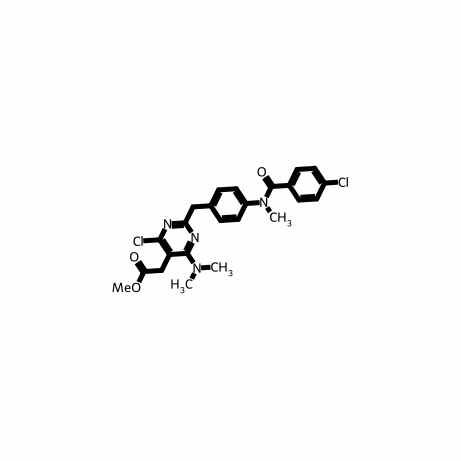 COC(=O)Cc1c(Cl)nc(Cc2ccc(N(C)C(=O)c3ccc(Cl)cc3)cc2)nc1N(C)C